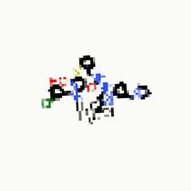 CCC(C)(C)c1cc(NC(=O)NCc2ccccc2Sc2ccc3nnc(-c4cc(Cl)ccc4O)n3c2)n(-c2cccc(CN3CCCC3)c2)n1